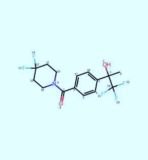 CC(O)(c1ccc(C(=O)N2CCC(F)(F)CC2)cc1)C(F)(F)F